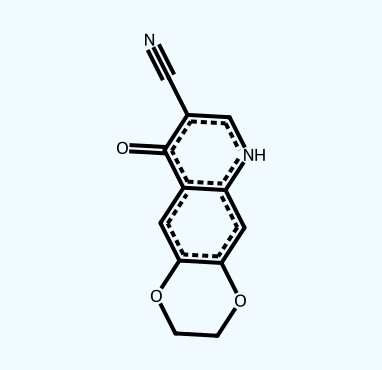 N#Cc1c[nH]c2cc3c(cc2c1=O)OCCO3